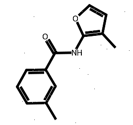 Cc1cccc(C(=O)Nc2occc2C)c1